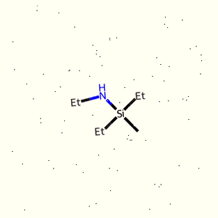 CCN[Si](C)(CC)CC